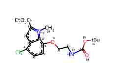 CCOC(=O)c1cc2c(Cl)ccc(OCCNC(=O)OC(C)(C)C)c2n1C